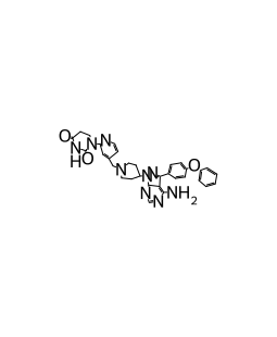 Nc1ncnc2c1c(-c1ccc(Oc3ccccc3)cc1)nn2C1CCN(Cc2ccnc(N3CCC(=O)NC3=O)c2)CC1